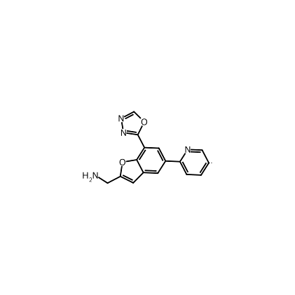 NCc1cc2cc(-c3cc[c]cn3)cc(-c3nnco3)c2o1